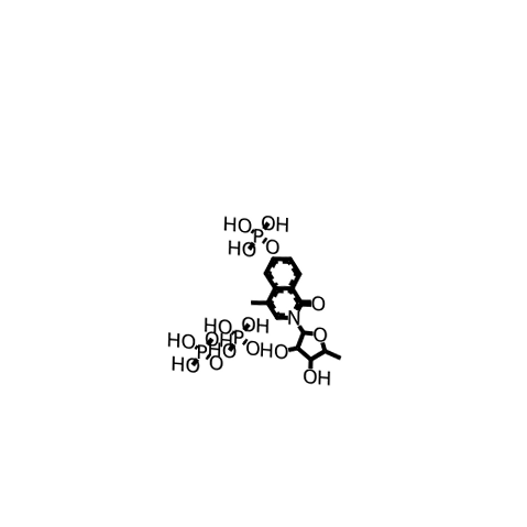 Cc1cn(C2OC(C)C(O)C2O)c(=O)c2ccccc12.O=P(O)(O)O.O=P(O)(O)O.O=P(O)(O)O